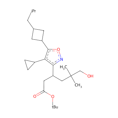 CC(C)CC1CC(c2onc(C(CC(=O)OC(C)(C)C)CC(C)(C)CO)c2C2CC2)C1